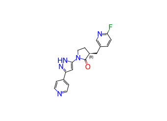 O=C1[C@H](Cc2ccc(F)nc2)CCN1c1cc(-c2ccncc2)n[nH]1